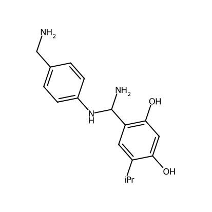 CC(C)c1cc(C(N)Nc2ccc(CN)cc2)c(O)cc1O